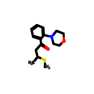 CSC(C)CC(=O)c1ccccc1N1CCOCC1